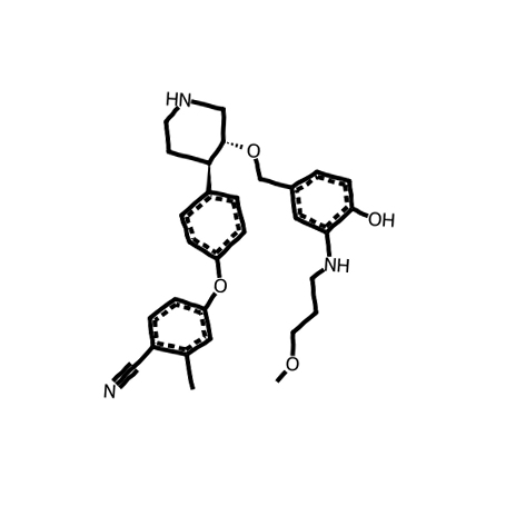 COCCCNc1cc(CO[C@H]2CNCC[C@@H]2c2ccc(Oc3ccc(C#N)c(C)c3)cc2)ccc1O